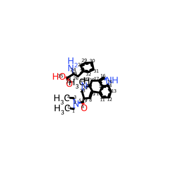 CCN(CC)C(=O)[C@@H]1C=C2c3cccc4[nH]cc(c34)C[C@H]2N(C)C1.N[C@@H](Cc1ccccc1)C(=O)O